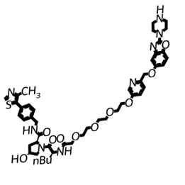 CCCC[C@H](NC(=O)COCCOCCOCCOc1ccc(COc2ccc3oc(N4CCNCC4)nc3c2)nc1)C(=O)N1C[C@H](O)C[C@H]1C(=O)NCc1ccc(-c2scnc2C)cc1